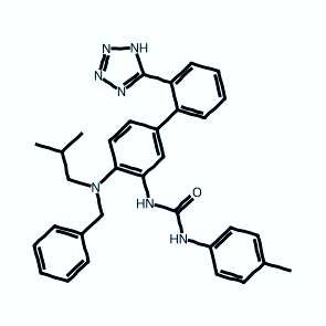 Cc1ccc(NC(=O)Nc2cc(-c3ccccc3-c3nnn[nH]3)ccc2N(Cc2ccccc2)CC(C)C)cc1